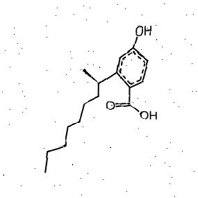 CCCCCCC[C@@H](C)c1cc(O)ccc1C(=O)O